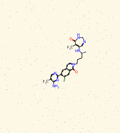 C[C@@H](CCCn1ccc2cc(-c3ncc(C(F)(F)F)c(N)n3)c(F)cc2c1=O)NC1=C(C(F)(F)F)C(=O)NCN=C1